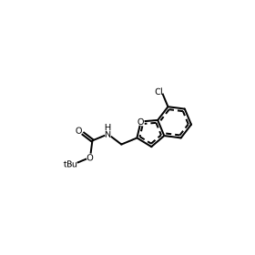 CC(C)(C)OC(=O)NCc1cc2cccc(Cl)c2o1